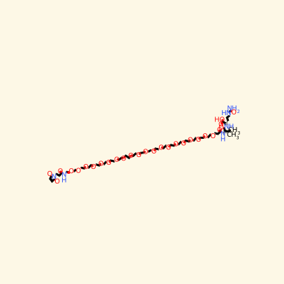 CC(C)[C@H](NC(=O)CCOCCOCCOCCOCCOCCOCCOCCOCCOCCOCCOCCOCCOCCOCCOCCOCCOCCOCCOCCOCCNC(=O)CCN1C(=O)C=CC1=O)C(=O)N[C@@H](CCCNC(N)=O)C(=O)O